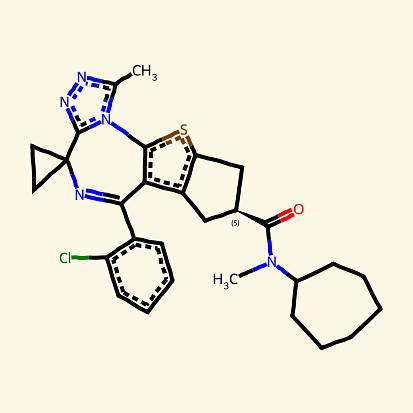 Cc1nnc2n1-c1sc3c(c1C(c1ccccc1Cl)=NC21CC1)C[C@H](C(=O)N(C)C1CCCCCC1)C3